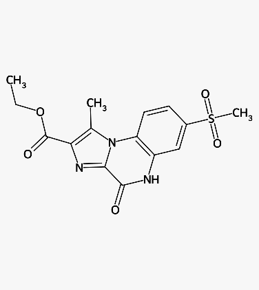 CCOC(=O)c1nc2c(=O)[nH]c3cc(S(C)(=O)=O)ccc3n2c1C